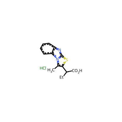 CCC(C(=O)O)c1sc2nc3ccccc3n2c1C.Cl